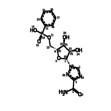 NC(=O)c1ncn([C@@H]2O[C@H](COP(=O)(O)c3ccccc3)[C@@H](O)[C@H]2O)n1